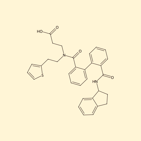 O=C(O)CCN(CCc1cccs1)C(=O)c1ccccc1-c1ccccc1C(=O)NC1CCc2ccccc21